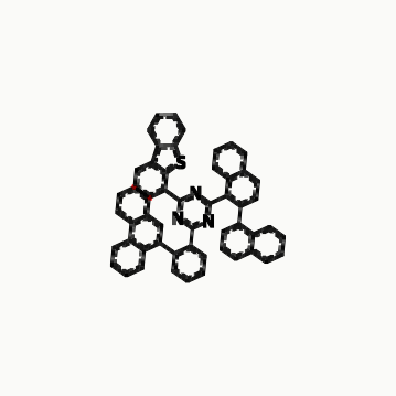 c1ccc(-c2cc3ccccc3c3ccccc23)c(-c2nc(-c3c(-c4cccc5ccccc45)ccc4ccccc34)nc(-c3cccc4c3sc3ccccc34)n2)c1